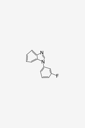 Fc1cccc(-n2cnc3ccccc32)c1